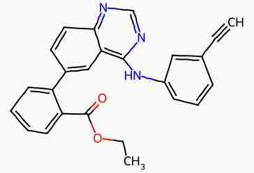 C#Cc1cccc(Nc2ncnc3ccc(-c4ccccc4C(=O)OCC)cc23)c1